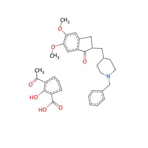 CC(=O)c1cccc(C(=O)O)c1O.COc1cc2c(cc1OC)C(=O)C(CC1CCN(Cc3ccccc3)CC1)C2